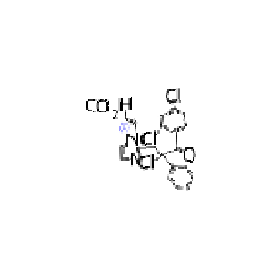 O=C(O)/C=C/n1ccnc1CC(Cl)(C(=O)c1ccc(Cl)cc1Cl)c1ccccc1